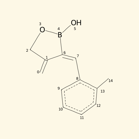 C=C1COB(O)/C1=C/c1ccccc1C